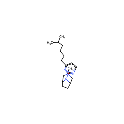 CC(C)CCCCc1ccnc(N2C3CCC2CN(C)C3)n1